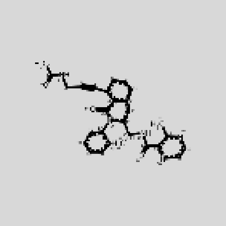 CC(=O)NCC#Cc1cccc2cc([C@@H](C)NC(=O)c3nccnc3C)n(-c3ccccc3)c(=O)c12